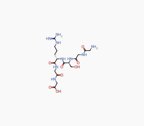 N=C(N)NCCC[C@H](NC(=O)[C@H](CO)NC(=O)CNC(=O)CN)C(=O)NCC(=O)NCC(=O)O